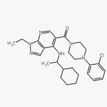 CCn1ncc2c(NC(C)C3CCCCC3)c(C(=O)N3CCN(c4ccccc4Cl)CC3)cnc21